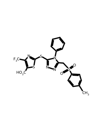 Cc1ccc(S(=O)(=O)Cc2nnc(Sc3nc(C(F)(F)F)c(C(=O)O)s3)n2-c2ccccc2)cc1